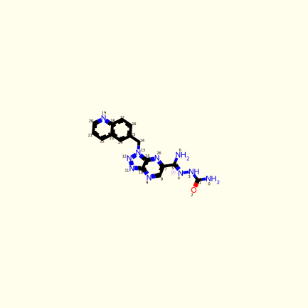 NC(=O)N/N=C(\N)c1cnc2nnn(Cc3ccc4ncccc4c3)c2n1